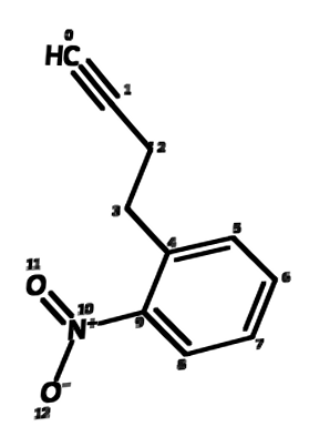 C#C[CH]Cc1ccccc1[N+](=O)[O-]